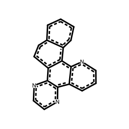 c1ccc2c(c1)ccc1c3nccnc3c3cccnc3c21